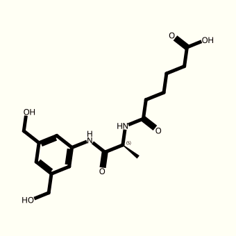 C[C@H](NC(=O)CCCCC(=O)O)C(=O)Nc1cc(CO)cc(CO)c1